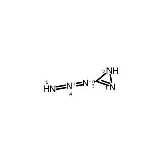 C1=NN1.[N-]=[N+]=N